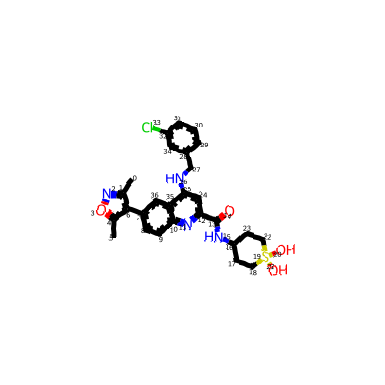 Cc1noc(C)c1-c1ccc2nc(C(=O)NC3CCS(O)(O)CC3)cc(NCc3cccc(Cl)c3)c2c1